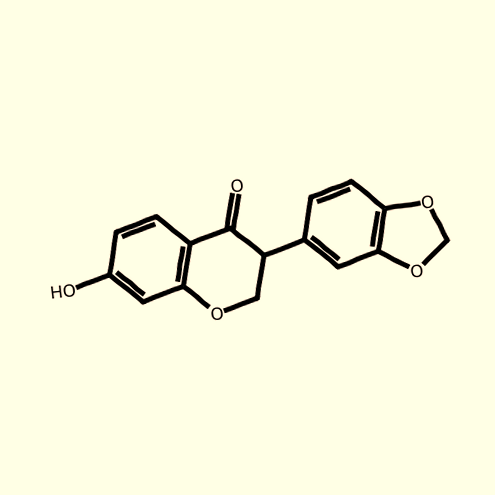 O=C1c2ccc(O)cc2OCC1c1ccc2c(c1)OCO2